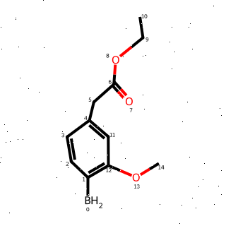 Bc1ccc(CC(=O)OCC)cc1OC